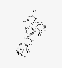 Cc1cc(F)ccc1-c1ncc(N2CCN(C(=O)c3c(C)noc3C)CC2)nc1-c1ccncc1Cl